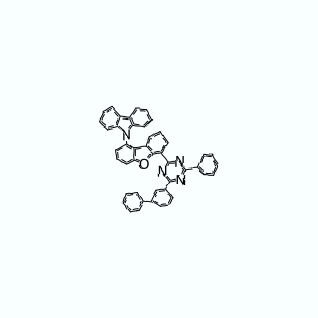 c1ccc(-c2cccc(-c3nc(-c4ccccc4)nc(-c4cccc5c4oc4cccc(-n6c7ccccc7c7ccccc76)c45)n3)c2)cc1